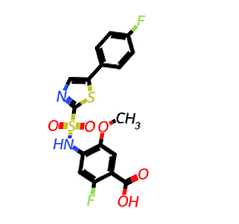 COc1cc(C(=O)O)c(F)cc1NS(=O)(=O)c1ncc(-c2ccc(F)cc2)s1